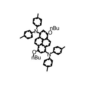 CCCCOc1cc(N(c2ccc(C)cc2)c2ccc(C)cc2)c2ccc3c(OCCCC)cc(N(c4ccc(C)cc4)c4ccc(C)cc4)c4ccc1c2c34